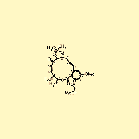 COCOc1cc(OC)cc2c1C(=O)OC(C)C(C(F)(F)F)/C=C\C(=O)C1OC(C)(C)OC1C/C=C/2